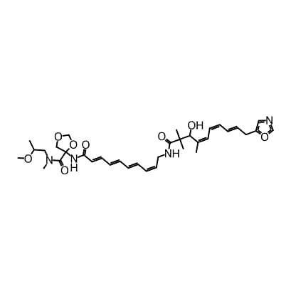 COC(C)CN(C)C(=O)C1(NC(=O)/C=C/C=C/C=C/C=C\CNC(=O)C(C)(C)C(O)\C(C)=C/C=C\C=C\Cc2cnco2)COCO1